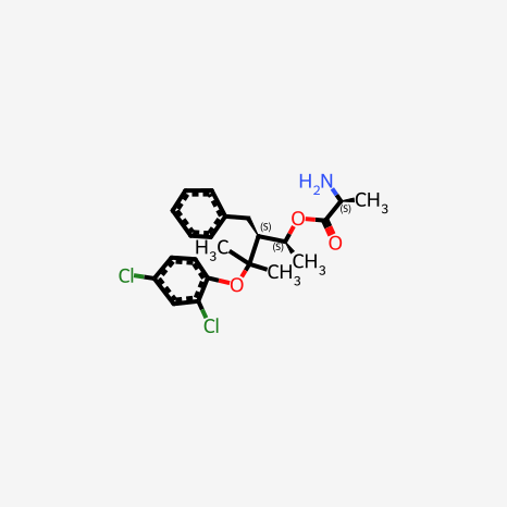 C[C@H](N)C(=O)O[C@@H](C)[C@H](Cc1ccccc1)C(C)(C)Oc1ccc(Cl)cc1Cl